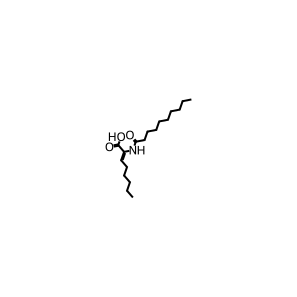 CCCCCC=C(NC(=O)CCCCCCCCC)C(=O)O